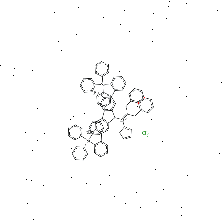 CC(C)(C)c1cc2c(cc1-c1ccccc1[Si](c1ccccc1)(c1ccccc1)c1ccccc1)[CH]([Zr-2]([C]1=CC=CC1)=[C](Cc1ccccc1)Cc1ccccc1)c1cc(-c3ccccc3[Si](c3ccccc3)(c3ccccc3)c3ccccc3)c(C(C)(C)C)cc1-2.[Cl-].[Cl-]